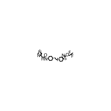 Cn1cnc(CC(=O)N[C@H]2CC[C@H](CCN3CCc4sc(OCC(C)(F)F)nc4C3)CC2)c1